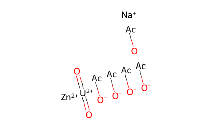 CC(=O)[O-].CC(=O)[O-].CC(=O)[O-].CC(=O)[O-].CC(=O)[O-].[Na+].[O]=[U+2]=[O].[Zn+2]